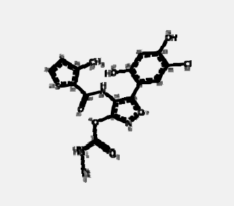 CCNC(=O)Oc1noc(-c2cc(Cl)c(O)cc2O)c1NC(=O)c1sccc1C